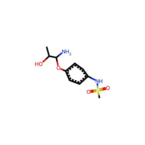 CC(O)C(N)Oc1ccc(NS(C)(=O)=O)cc1